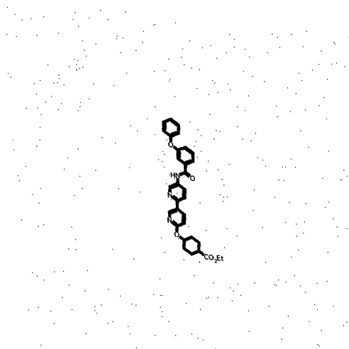 CCOC(=O)C1CCC(Oc2ccc(-c3ccc(NC(=O)c4cccc(Oc5ccccc5)c4)cn3)cn2)CC1